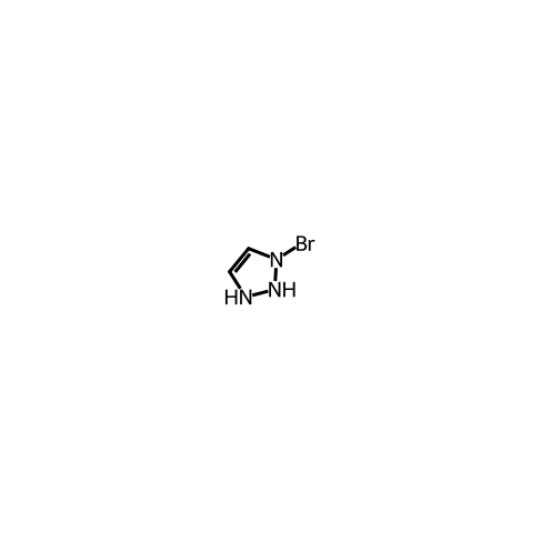 BrN1C=CNN1